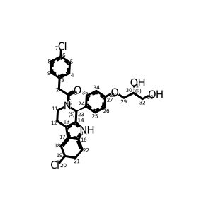 O=C(Cc1ccc(Cl)cc1)N1CCc2c([nH]c3c2=CC(Cl)CC=3)[C@@H]1c1ccc(OC[C@H](O)CO)cc1